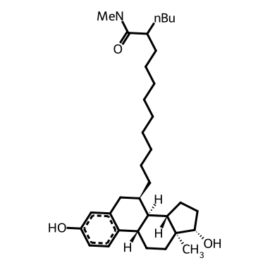 CCCCC(CCCCCCCCC[C@@H]1Cc2cc(O)ccc2[C@H]2CC[C@]3(C)[C@@H](O)CC[C@H]3[C@H]12)C(=O)NC